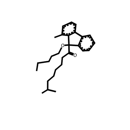 CCCCCOC1(C(=O)CCCCCC(C)C)c2ccccc2-c2cccc(C)c21